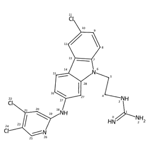 N=C(N)NCCn1c2ccc(Cl)cc2c2ccc(Nc3cc(Cl)c(Cl)cn3)cc21